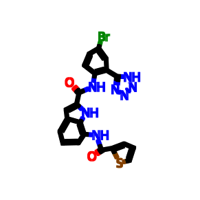 O=C(Nc1ccc(Br)cc1-c1nnn[nH]1)c1cc2cccc(NC(=O)c3cccs3)c2[nH]1